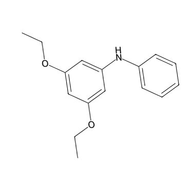 CCOc1cc(Nc2ccccc2)cc(OCC)c1